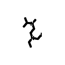 CCN(CI)CCN(C)C(C)C